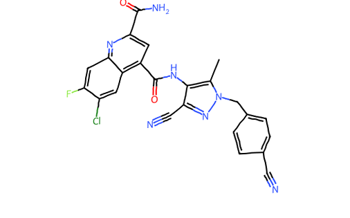 Cc1c(NC(=O)c2cc(C(N)=O)nc3cc(F)c(Cl)cc23)c(C#N)nn1Cc1ccc(C#N)cc1